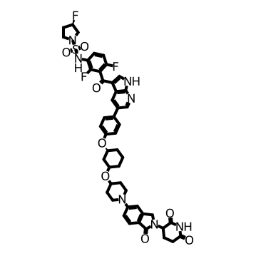 O=C1CCC(N2Cc3cc(N4CCC(OC5CCC[C@@H](Oc6ccc(-c7cnc8[nH]cc(C(=O)c9c(F)ccc(NS(=O)(=O)N%10CC[C@@H](F)C%10)c9F)c8c7)cc6)C5)CC4)ccc3C2=O)C(=O)N1